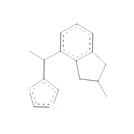 CC1Cc2cccc(C(C)c3c[nH]cn3)c2C1